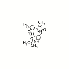 CCC1SC(=O)N(Cc2ccc(NC(=O)C(C)C)cc2)N=C1c1ccc(OCF)c(OC)c1